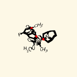 COC(=O)N[C@@H](CCN1C2CCC1CC(n1c(C)nc3c1CN(C(C)=O)CC3)C2)c1cccc(F)c1